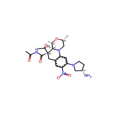 CC(=O)NC(=O)[C@]1(C(C)=O)Cc2cc([N+](=O)[O-])c(N3CC[C@H](N)C3)cc2N2C[C@@H](C)O[C@@H](C)[C@@H]21